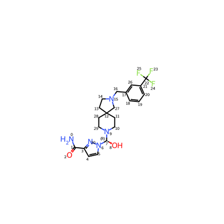 NC(=O)c1ccn([C@H](O)N2CCC3(CCN(Cc4cccc(C(F)(F)F)c4)C3)CC2)n1